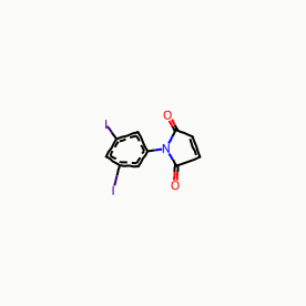 O=C1C=CC(=O)N1c1cc(I)cc(I)c1